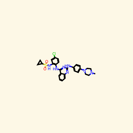 CN1CCN(c2ccc(Nc3nc(Nc4ccc(Cl)cc4NS(=O)(=O)C4CC4)c4ccccc4n3)cc2)CC1